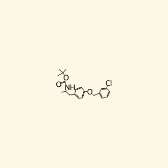 CC(Cc1ccc(OCc2cccc(Cl)c2)cc1)NC(=O)OC(C)(C)C